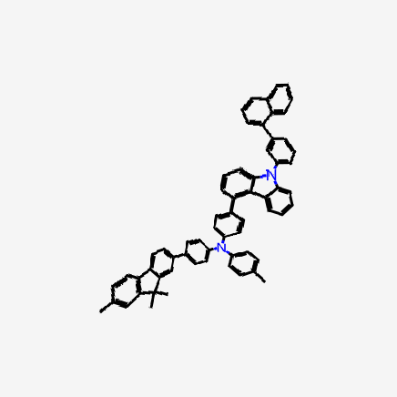 Cc1ccc(N(c2ccc(-c3ccc4c(c3)C(C)(C)c3cc(C)ccc3-4)cc2)c2ccc(-c3cccc4c3c3ccccc3n4-c3cccc(-c4cccc5ccccc45)c3)cc2)cc1